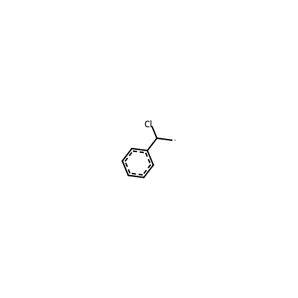 [CH2]C(Cl)c1ccccc1